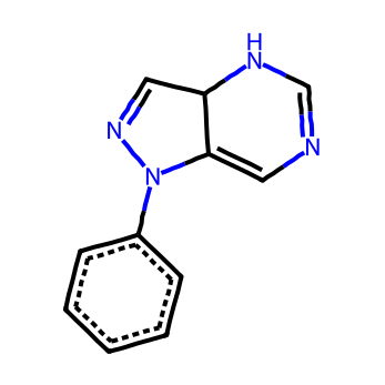 C1=NC=C2C(C=NN2c2ccccc2)N1